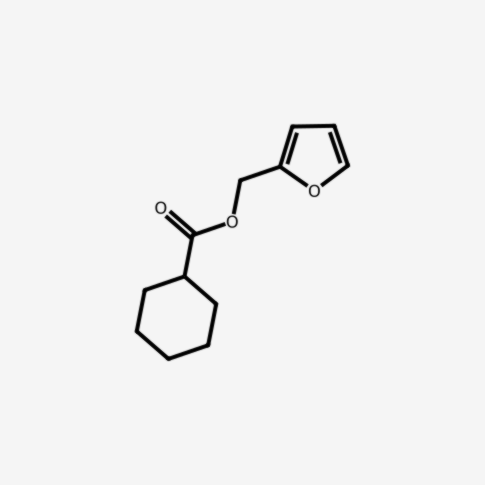 O=C(OCc1ccco1)C1CCCCC1